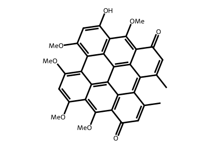 COc1cc(OC)c2c3c(OC)cc(O)c4c(OC)c5c(=O)cc(C)c6c7c(C)cc(=O)c8c(OC)c1c2c(c87)c(c43)c56